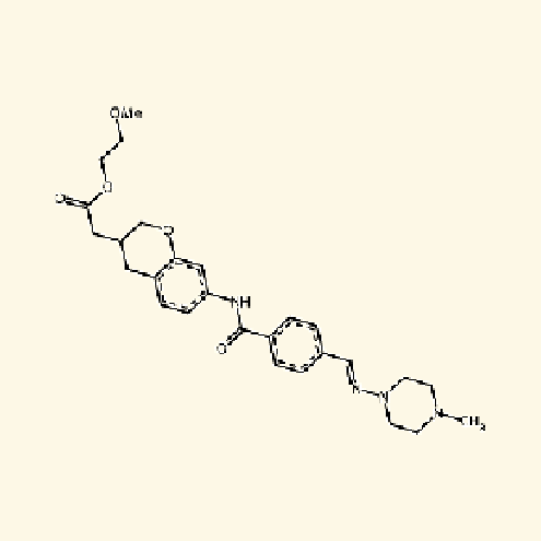 COCCOC(=O)CC1COc2cc(NC(=O)c3ccc(C=NN4CCN(C)CC4)cc3)ccc2C1